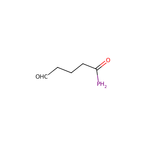 O=CCCCC(=O)P